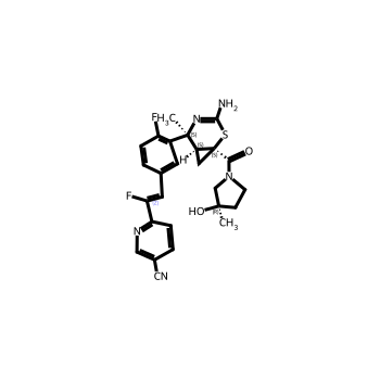 C[C@@]1(O)CCN(C(=O)[C@]23C[C@H]2[C@@](C)(c2cc(/C=C(\F)c4ccc(C#N)cn4)ccc2F)N=C(N)S3)C1